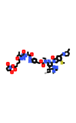 CCN(C(=O)OCc1ccc(NC(=O)[C@H](C)NC(=O)[C@@H](NC(=O)CCCC(=O)ON2C(=O)CCC2=O)C(C)C)cc1)c1cc([C@]2(c3nncn3C)C[C@@H](C)C2)cc(N2Cc3c(SC)cc(CN4CCC[C@H](C)C4)cc3C2=O)n1